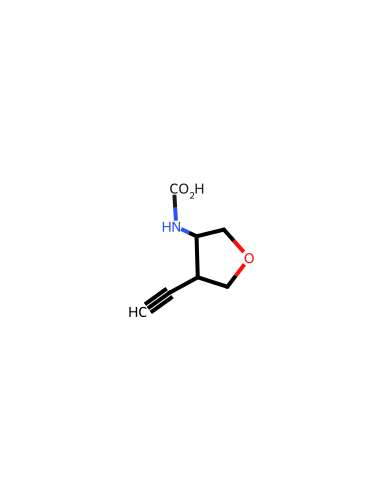 C#CC1COCC1NC(=O)O